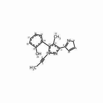 CC#Cn1nc(C2=NCC=C2)c(C)c1-c1ccccc1O